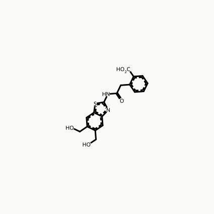 O=C(Cc1ccccc1C(=O)O)Nc1nc2cc(CO)c(CO)cc2s1